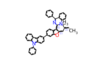 C\C=C/C=c1/oc2cc(-c3ccc4c(c3)c3ccccc3n4-c3ccccc3)ccc2/c1=C1\N=C(c2ccccc2)c2ccccc2N1C